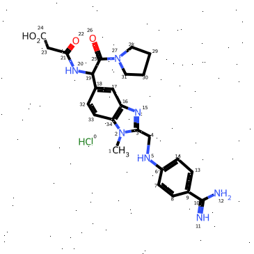 Cl.Cn1c(CNc2ccc(C(=N)N)cc2)nc2cc(C(NC(=O)CC(=O)O)C(=O)N3CCCC3)ccc21